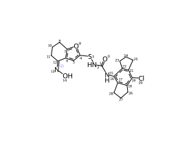 O=C(NSc1cc2c(o1)CCC/C2=N/O)Nc1c2c(c(Cl)c3c1CCC3)CCC2